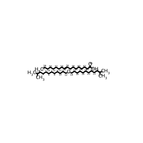 CC(C)CCCCCCCCCCOCCCCCCCCCCC(C)C.CCCCCCCCC=CCCCCCCCC(=O)O